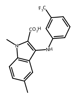 Cc1ccc2c(c1)c(Nc1cccc(C(F)(F)F)c1)c(C(=O)O)n2C